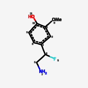 COc1cc(C(F)CN)ccc1O